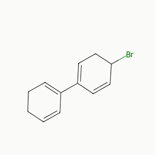 BrC1C=CC(C2=CCCC=C2)=CC1